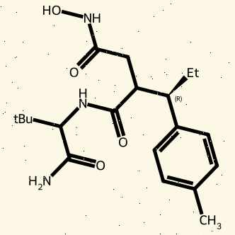 CC[C@@H](c1ccc(C)cc1)C(CC(=O)NO)C(=O)NC(C(N)=O)C(C)(C)C